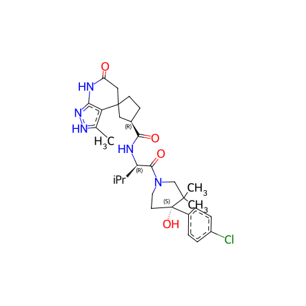 Cc1[nH]nc2c1C1(CC[C@@H](C(=O)N[C@@H](C(=O)N3CC[C@](O)(c4ccc(Cl)cc4)C(C)(C)C3)C(C)C)C1)CC(=O)N2